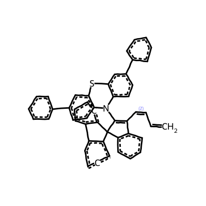 C=C/C=C\C1=C(N2c3ccc(-c4ccccc4)cc3Sc3cc(-c4ccccc4)ccc32)C2(c3ccccc31)c1ccccc1-c1ccccc12